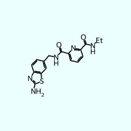 CCNC(=O)c1cccc(C(=O)NCc2ccc3nc(N)sc3c2)n1